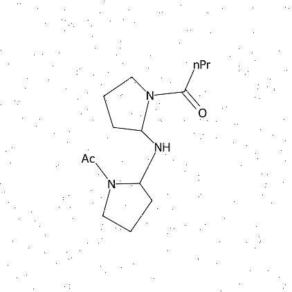 CCCC(=O)N1CCCC1NC1CCCN1C(C)=O